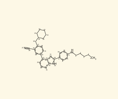 CCCCCNc1ccc(-c2nc3c(-c4ccc(CC5CCCCC5)c(C#N)c4)ccnc3[nH]2)cc1